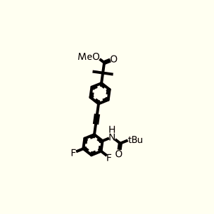 COC(=O)C(C)(C)c1ccc(C#Cc2cc(F)cc(F)c2NC(=O)C(C)(C)C)cc1